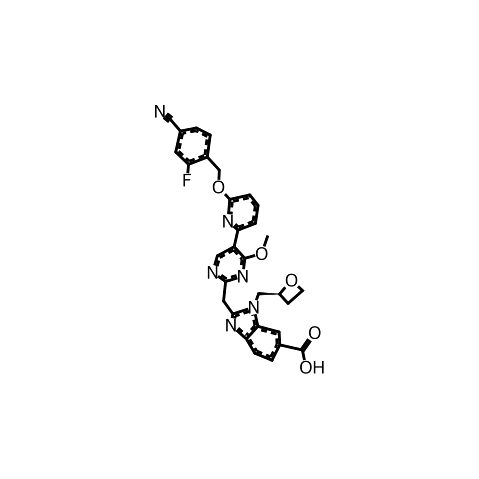 COc1nc(Cc2nc3ccc(C(=O)O)cc3n2C[C@@H]2CCO2)ncc1-c1cccc(OCc2ccc(C#N)cc2F)n1